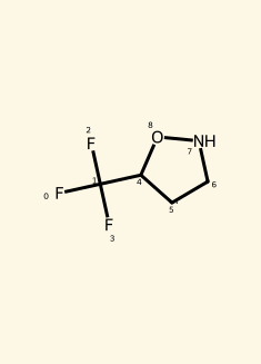 FC(F)(F)C1[CH]CNO1